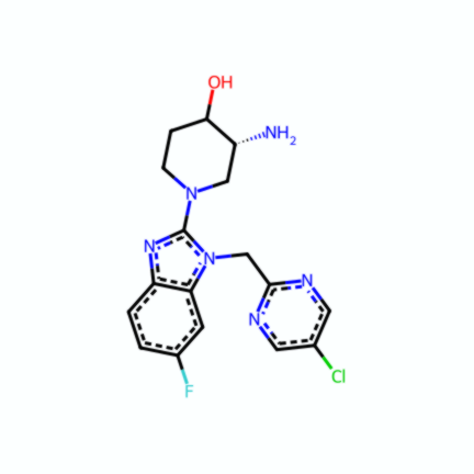 N[C@@H]1CN(c2nc3ccc(F)cc3n2Cc2ncc(Cl)cn2)CCC1O